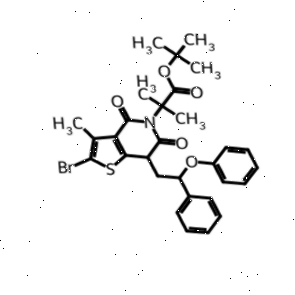 Cc1c(Br)sc2c1C(=O)N(C(C)(C)C(=O)OC(C)(C)C)C(=O)C2CC(Oc1ccccc1)c1ccccc1